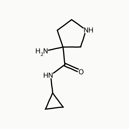 NC1(C(=O)NC2CC2)CCNC1